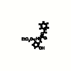 CCOC(=O)C[C@H]1CC[C@@H](O)[C@H]1CNC(=O)OCc1ccccc1